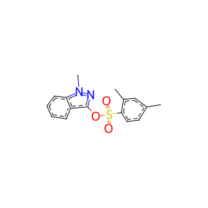 Cc1ccc(S(=O)(=O)Oc2nn(C)c3ccccc23)c(C)c1